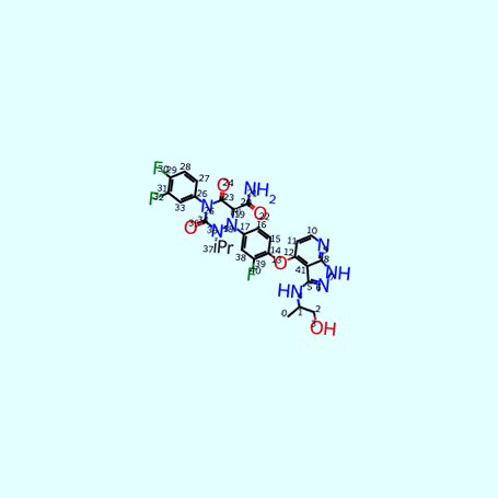 CC(CO)Nc1n[nH]c2nccc(Oc3ccc(N4[C@H](C(N)=O)C(=O)N(c5ccc(F)c(F)c5)C(=O)N4C(C)C)cc3F)c12